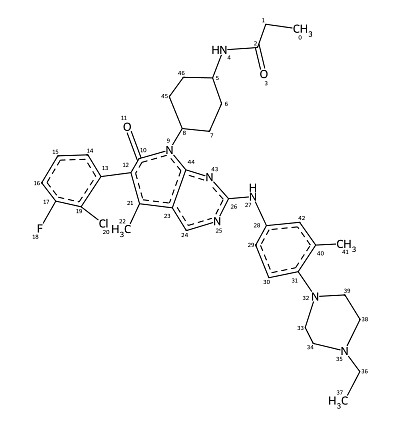 CCC(=O)NC1CCC(n2c(=O)c(-c3cccc(F)c3Cl)c(C)c3cnc(Nc4ccc(N5CCN(CC)CC5)c(C)c4)nc32)CC1